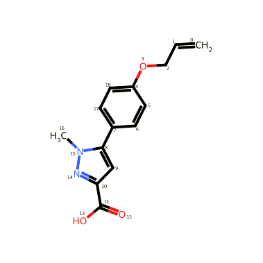 C=CCOc1ccc(-c2cc(C(=O)O)nn2C)cc1